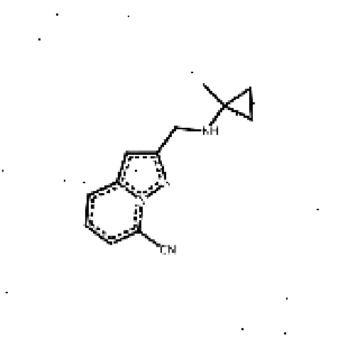 CC1(NCc2cc3cccc(C#N)n3n2)CC1